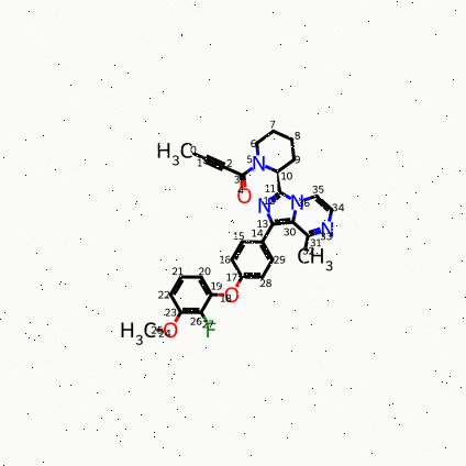 CC#CC(=O)N1CCCC[C@H]1c1nc(-c2ccc(Oc3cccc(OC)c3F)cc2)c2c(C)nccn12